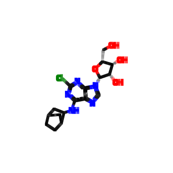 OC[C@H]1O[C@@H](n2cnc3c(NC4CC5CCC4C5)nc(Cl)nc32)[C@@H](O)[C@H]1O